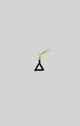 [S]SC1CC1